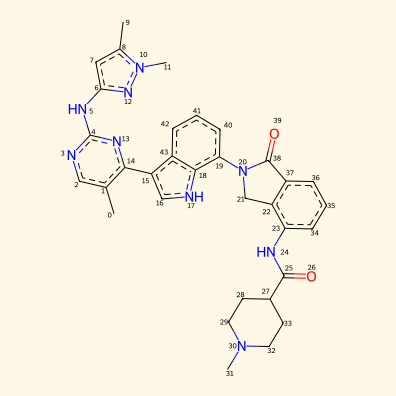 Cc1cnc(Nc2cc(C)n(C)n2)nc1-c1c[nH]c2c(N3Cc4c(NC(=O)C5CCN(C)CC5)cccc4C3=O)cccc12